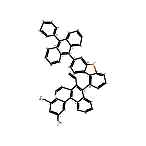 C=Cc1c(/C=C\C)c(-c2cc(C(C)(C)C)cc(C(C)(C)C)c2)c2ccccc2c1-c1cccc2sc3cc(-c4c5ccccc5c(-c5ccccc5)c5ccccc45)ccc3c12